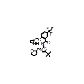 CC(C)(C)c1cn(C[C@H]2CCCO2)/c(=N/C(=O)c2cc(C(F)(F)F)ccc2OC[C@@H]2CCN2)s1